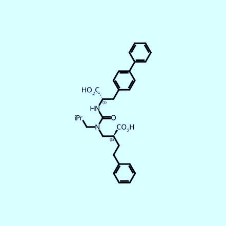 CC(C)CN(C[C@H](CCc1ccccc1)C(=O)O)C(=O)N[C@@H](Cc1ccc(-c2ccccc2)cc1)C(=O)O